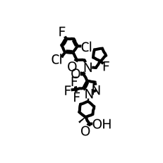 C[C@]1(C(=O)O)CC[C@H](n2ncc(C(=O)N(CC(=O)c3c(Cl)cc(F)cc3Cl)CC3(F)CCCC3)c2C(F)(F)F)CC1